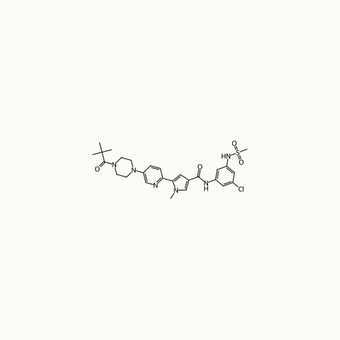 Cn1cc(C(=O)Nc2cc(Cl)cc(NS(C)(=O)=O)c2)cc1-c1ccc(N2CCN(C(=O)C(C)(C)C)CC2)cn1